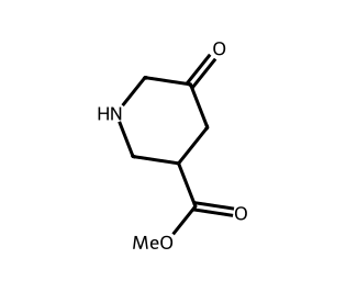 COC(=O)C1CNCC(=O)C1